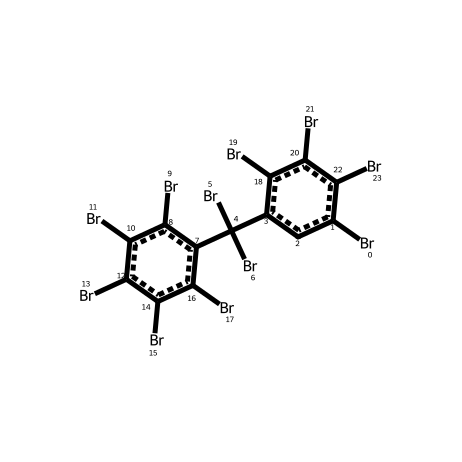 Brc1cc(C(Br)(Br)c2c(Br)c(Br)c(Br)c(Br)c2Br)c(Br)c(Br)c1Br